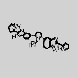 CC(C)N1[C@@H](c2ccc3[nH]c(C4CCCN4)nc3c2)CC[C@@H]1c1ccc2[nH]c(C3CCCN3)nc2c1